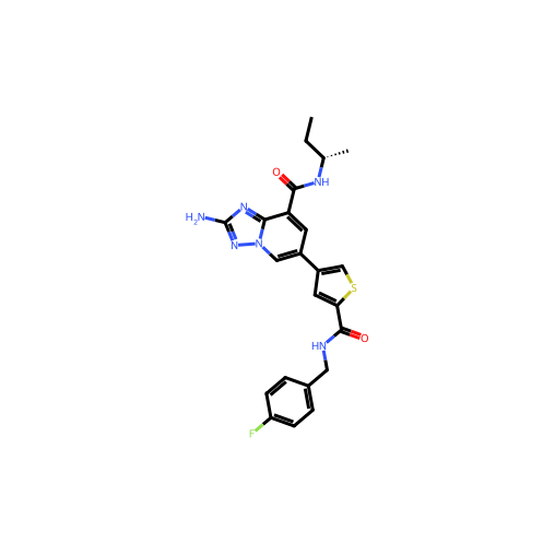 CC[C@H](C)NC(=O)c1cc(-c2csc(C(=O)NCc3ccc(F)cc3)c2)cn2nc(N)nc12